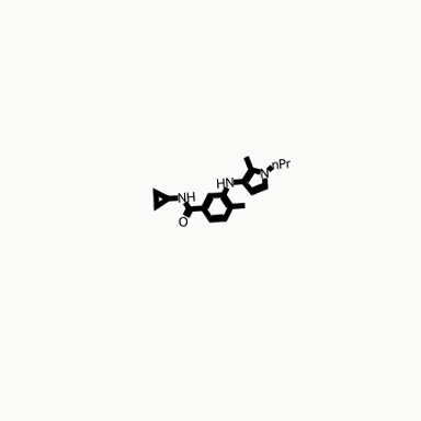 CCCn1ccc(Nc2cc(C(=O)NC3CC3)ccc2C)c1C